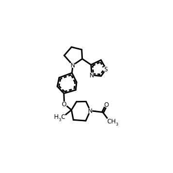 CC(=O)N1CCC(C)(Oc2ccc(N3CCCC3c3cscn3)cc2)CC1